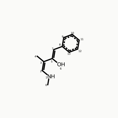 CN/C=C(C)\C(O)=C\c1ccccc1